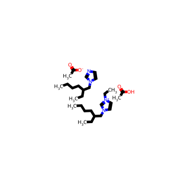 CC(=O)O.CC(=O)[O-].CCCCC(CC)Cn1cc[n+](CC)c1.CCCCC(CC)Cn1ccnc1